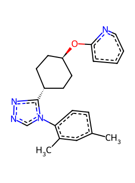 Cc1ccc(-n2cnnc2[C@H]2CC[C@H](Oc3ccccn3)CC2)c(C)c1